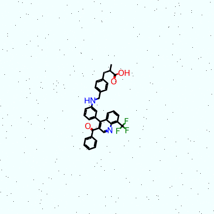 CC(Cc1ccc(CNc2cccc(-c3c(C(=O)c4ccccc4)cnc4c(C(F)(F)F)cccc34)c2)cc1)C(=O)O